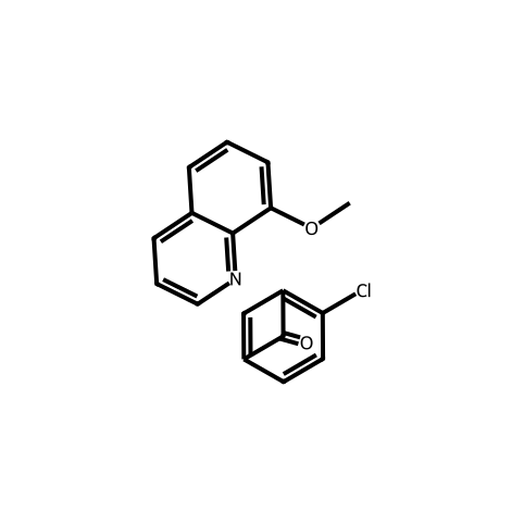 COc1cccc2cccnc12.O=C1c2ccc(Cl)c1c2